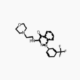 O=c1c(NCCN2CCOCC2)nn(C2C=CCC(C(F)(F)F)=C2)c2ccccc12